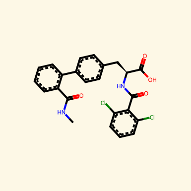 CNC(=O)c1ccccc1-c1ccc(C[C@H](NC(=O)c2c(Cl)cccc2Cl)C(=O)O)cc1